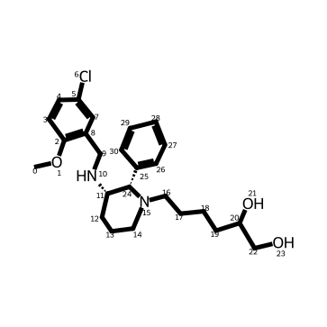 COc1ccc(Cl)cc1CN[C@H]1CCCN(CCCCC(O)CO)[C@H]1c1ccccc1